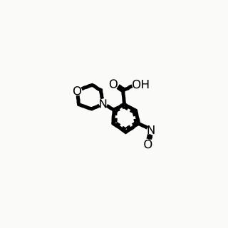 O=Nc1ccc(N2CCOCC2)c(C(=O)O)c1